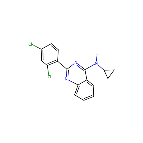 CN(c1nc(-c2ccc(Cl)cc2Cl)nc2ccccc12)C1CC1